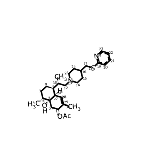 CC(=O)O[C@@H]1[C][C@@]2(O)[C@H](C)CC[C@@H]([C@H](C)CN3CCC(CSc4ccccn4)CC3)[C@H]2C=C1C